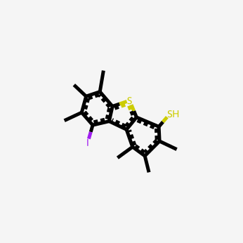 Cc1c(C)c(I)c2c(sc3c(S)c(C)c(C)c(C)c32)c1C